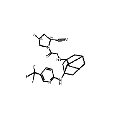 N#C[C@@H]1C[C@H](F)CN1C(=O)CNC12CC3CC(C1)CC(Nc1ccc(C(F)(F)F)cn1)(C3)C2